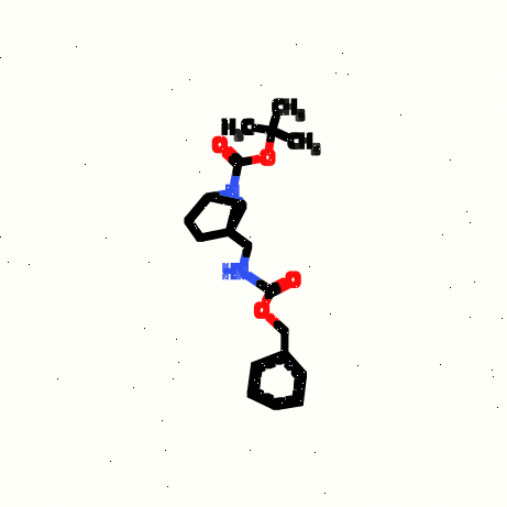 CC(C)(C)OC(=O)N1CC2(CNC(=O)OCc3ccccc3)CCC1C2